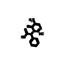 Cl.Nc1cncn(C(C(=O)O)c2ccccc2)c1=O